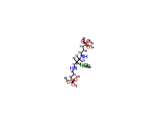 CO[Si](CCCNCC(C)(C)C(C)(C)NCCC[Si](OC)(OC)OC)(OC)OC.Cl.Cl